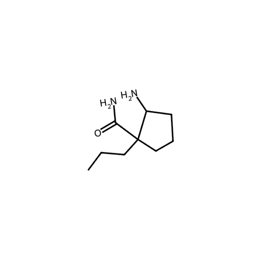 CCCC1(C(N)=O)CCCC1N